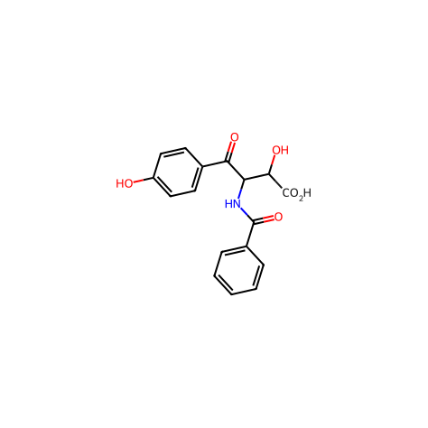 O=C(NC(C(=O)c1ccc(O)cc1)C(O)C(=O)O)c1ccccc1